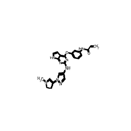 C=CC(=O)Nc1cccc(Oc2nc(Nc3cnn(C4CCN(C)C4)c3)nc3[nH]ccc23)c1